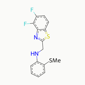 CSc1ccccc1NCc1nc2c(F)c(F)ccc2s1